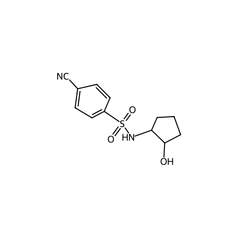 N#Cc1ccc(S(=O)(=O)NC2CCCC2O)cc1